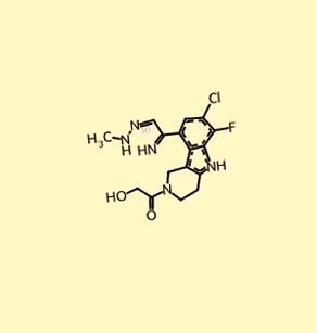 CN/N=C\C(=N)c1cc(Cl)c(F)c2[nH]c3c(c12)CN(C(=O)CO)CC3